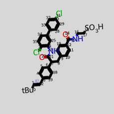 CC(C)(C)/C=C/c1ccc(C(Cc2ccc(C(=O)NCCS(=O)(=O)O)cc2)C(=O)Nc2cc(-c3ccc(Cl)cc3)ccc2Cl)cc1